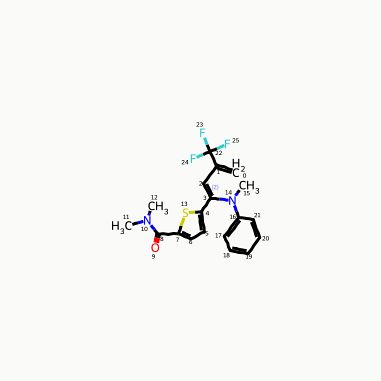 C=C(/C=C(/c1ccc(C(=O)N(C)C)s1)N(C)c1ccccc1)C(F)(F)F